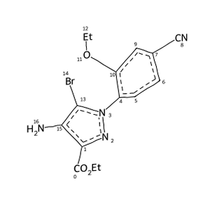 CCOC(=O)c1nn(-c2ccc(C#N)cc2OCC)c(Br)c1N